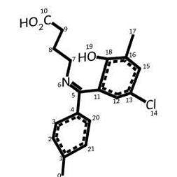 Cc1ccc(C(=NCCCC(=O)O)c2cc(Cl)cc(C)c2O)cc1